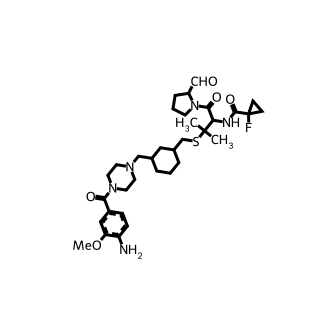 COc1cc(C(=O)N2CCN(CC3CCCC(CSC(C)(C)C(NC(=O)C4(F)CC4)C(=O)N4CCCC4C=O)C3)CC2)ccc1N